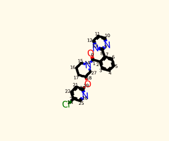 O=C(c1ccccc1-c1ncccn1)N1CCCC(Oc2ccc(Cl)cn2)C1